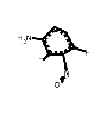 Nc1ccc(F)c(N=O)c1F